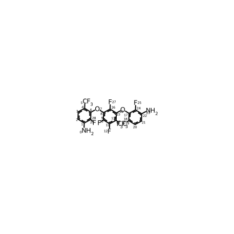 Nc1ccc(C(F)(F)F)c(Oc2c(F)c(F)c(C(F)(F)F)c(Oc3c(C(F)(F)F)ccc(N)c3F)c2F)c1F